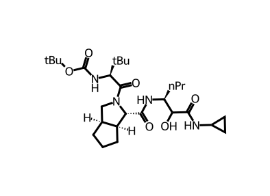 CCC[C@H](NC(=O)[C@@H]1[C@H]2CCC[C@H]2CN1C(=O)[C@@H](NC(=O)OC(C)(C)C)C(C)(C)C)C(O)C(=O)NC1CC1